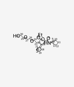 CCO[C@@H]1OC(C(=O)NC2CC3CCC2C3)=C[C@H](c2ccsc2)C1CCOCCOCCO